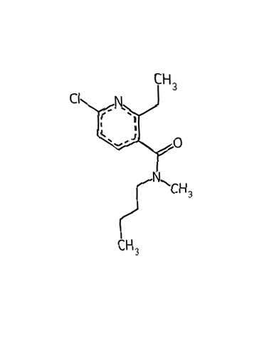 CCCCN(C)C(=O)c1ccc(Cl)nc1CC